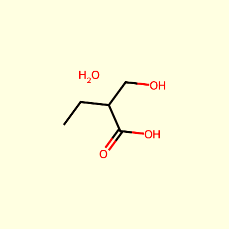 CCC(CO)C(=O)O.O